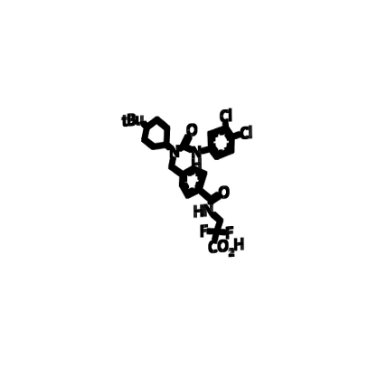 CC(C)(C)C1CCC(N(Cc2ccc(C(=O)NCC(F)(F)C(=O)O)cc2)C(=O)Nc2ccc(Cl)c(Cl)c2)CC1